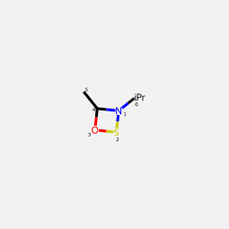 CC(C)N1SOC1C